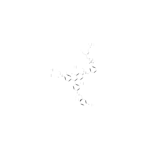 CCCCC(CC)CNS(=O)(=O)c1cccc(C/[N+](CC)=C2C=C/C(=C(/c3ccc(N(CC)CC)cc3)c3ccc(N(CC)Cc4cccc(C)c4)cc3C)C(C)=C\2)c1